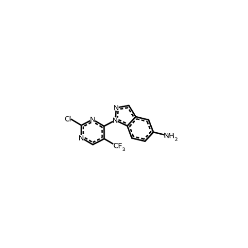 Nc1ccc2c(cnn2-c2nc(Cl)ncc2C(F)(F)F)c1